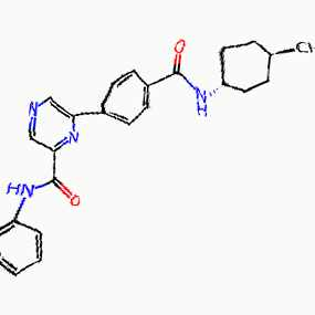 C[C@H]1CC[C@H](NC(=O)c2ccc(-c3cncc(C(=O)Nc4ccccc4)n3)cc2)CC1